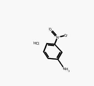 Cl.Nc1cccc([N+](=O)[O-])c1